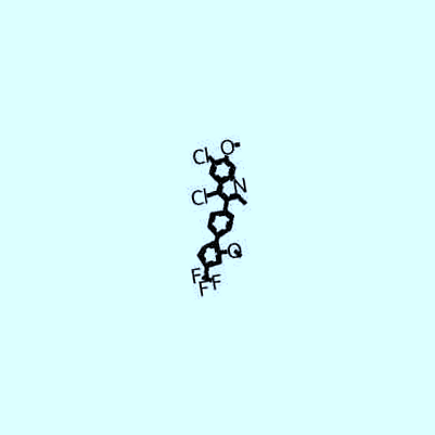 COc1cc2nc(C)c(-c3ccc(-c4ccc(C(F)(F)F)cc4OC)cc3)c(Cl)c2cc1Cl